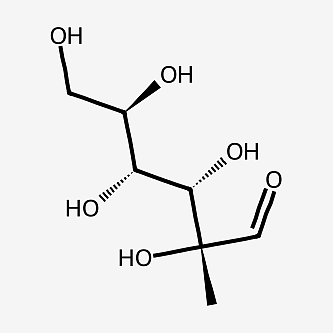 C[C@](O)(C=O)[C@@H](O)[C@H](O)[C@H](O)CO